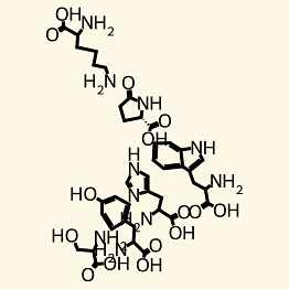 NC(CO)C(=O)O.NC(Cc1c[nH]c2ccccc12)C(=O)O.NC(Cc1c[nH]cn1)C(=O)O.NC(Cc1ccc(O)cc1)C(=O)O.NCCCCC(N)C(=O)O.O=C1CC[C@@H](C(=O)O)N1